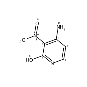 Nc1ccnc(O)c1[N+](=O)[O-]